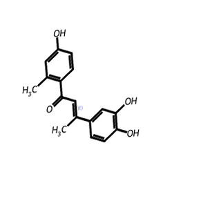 C/C(=C\C(=O)c1ccc(O)cc1C)c1ccc(O)c(O)c1